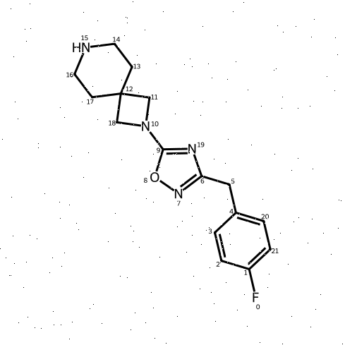 Fc1ccc(Cc2noc(N3CC4(CCNCC4)C3)n2)cc1